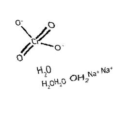 O.O.O.O.[Na+].[Na+].[O]=[Cr](=[O])([O-])[O-]